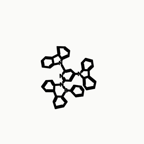 c1ccc(B2c3ccccc3-c3ccccc3N2c2cc(-n3c4ccccc4c4ccccc43)cc(-n3c4ccccc4c4ccccc43)n2)cc1